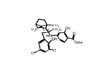 COC(=O)c1ccc(NC(Cc2cc(Cl)cc(Cl)c2O)(C(=O)O)C2CC3CCC2(C)C3(C)C)cc1O